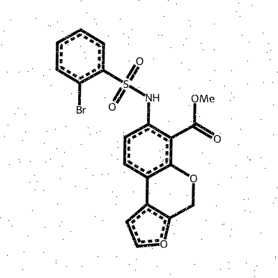 COC(=O)c1c(NS(=O)(=O)c2ccccc2Br)ccc2c1OCc1occc1-2